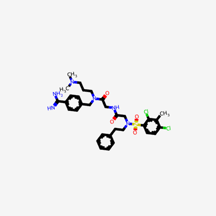 Cc1c(Cl)ccc(S(=O)(=O)N(CCc2ccccc2)CC(=O)NCC(=O)N(CCCN(C)C)Cc2ccc(C(=N)N)cc2)c1Cl